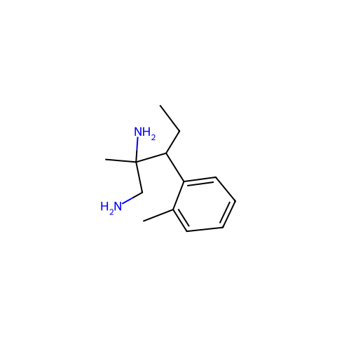 CCC(c1ccccc1C)C(C)(N)CN